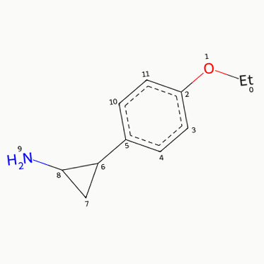 CCOc1ccc(C2CC2N)cc1